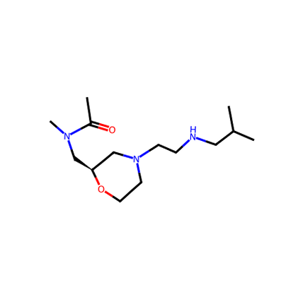 CC(=O)N(C)C[C@H]1CN(CCNCC(C)C)CCO1